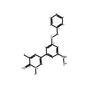 Cc1cc(-c2cc(NS)cc(OCc3ccccc3)c2)cn(C)c1=O